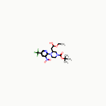 CCOC(O)CC1CN(C(=O)OC(C)(C)C)CCN1c1ncc(C(F)(F)F)cc1[N+](=O)[O-]